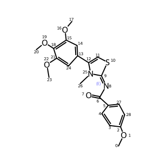 COc1ccc(C(=O)/N=c2/scc(-c3cc(OC)c(OC)c(OC)c3)n2C)cc1